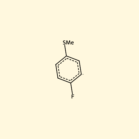 CSc1c[c]c(F)cc1